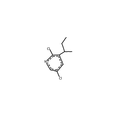 CCC(C)c1cc(Cl)cnc1Cl